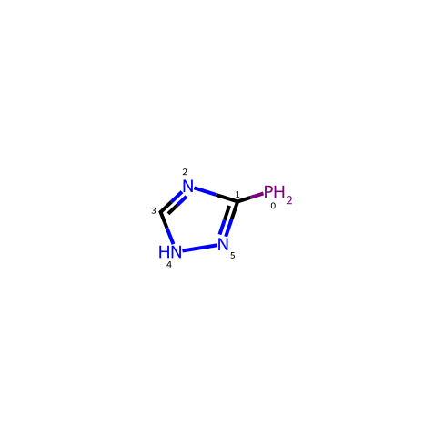 Pc1nc[nH]n1